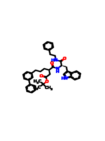 CC(C)(C)OC(=O)C[C@@H](CCCc1cccc(-c2ccccc2)c1)C(=O)N[C@@H](Cc1c[nH]c2ccccc12)C(=O)NCCc1ccccc1